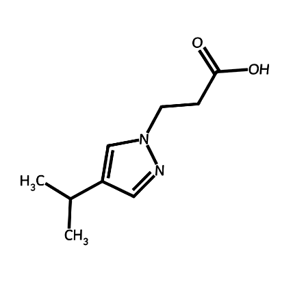 CC(C)c1cnn(CCC(=O)O)c1